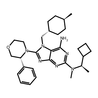 C[C@H](C1CCC1)N(C)c1nc(N)c2c(n1)nc(N1CCOC[C@H]1c1ccccc1)n2C[C@H]1CC[C@H](C)CC1